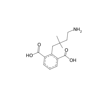 CC(C)(CCN)Cc1c(C(=O)O)cccc1C(=O)O